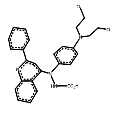 O=C(O)NN(c1ccc(N(CCCl)CCCl)cc1)c1cc(-c2ccccc2)nc2ccccc12